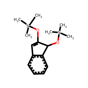 C[Si](C)(C)O[C]1C(O[Si](C)(C)C)=Cc2ccccc21